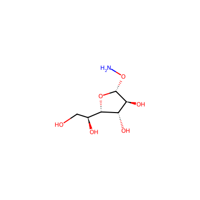 NO[C@H]1O[C@@H]([C@@H](O)CO)[C@@H](O)[C@@H]1O